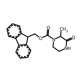 CC1C(=O)NCCN1C(=O)OCC1c2ccccc2-c2ccccc21